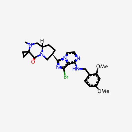 COc1ccc(CNc2nccn3c([C@@H]4CC[C@H]5CN(C)C6(CC6)C(=O)N5C4)nc(Br)c23)c(OC)c1